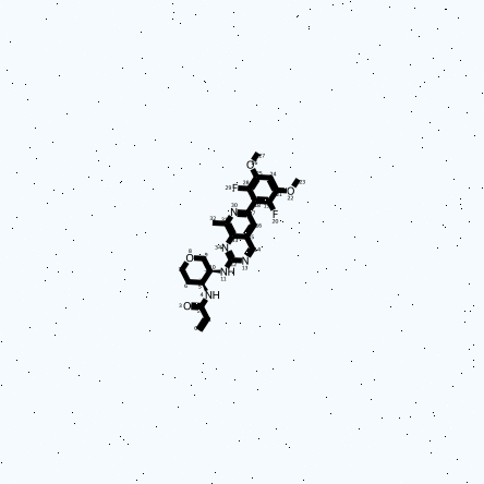 C=CC(=O)N[C@H]1CCOC[C@H]1Nc1ncc2cc(-c3c(F)c(OC)cc(OC)c3F)nc(C)c2n1